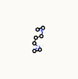 c1cc(-c2cccc(-c3nc4cccc5c6ccccc6n3c45)c2)cc(-c2cccc(C3Nc4cccc5c6ccccc6n3c45)c2)c1